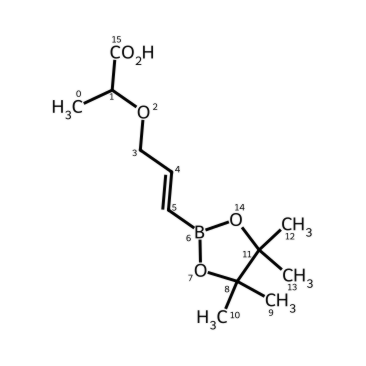 CC(OC/C=C/B1OC(C)(C)C(C)(C)O1)C(=O)O